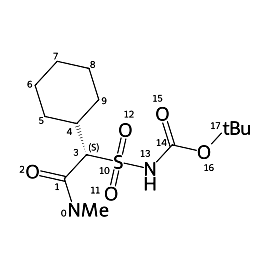 CNC(=O)[C@H](C1CCCCC1)S(=O)(=O)NC(=O)OC(C)(C)C